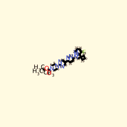 CC(C)(C)OC(=O)N1CCN(c2ncc(-c3ccc(NCC4(c5ncccc5F)CCC4)nn3)cn2)CC1